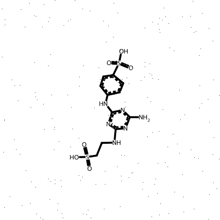 Nc1nc(NCCS(=O)(=O)O)nc(Nc2ccc(S(=O)(=O)O)cc2)n1